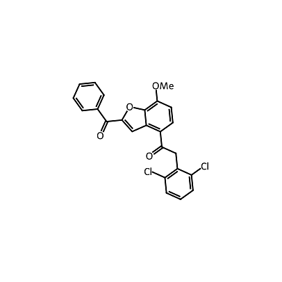 COc1ccc(C(=O)Cc2c(Cl)cccc2Cl)c2cc(C(=O)c3ccccc3)oc12